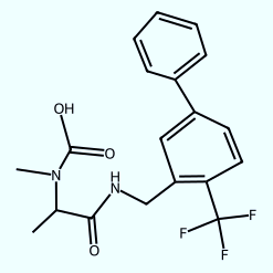 CC(C(=O)NCc1cc(-c2ccccc2)ccc1C(F)(F)F)N(C)C(=O)O